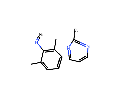 CCc1ncccn1.Cc1cccc(C)c1[N]=[Ni]